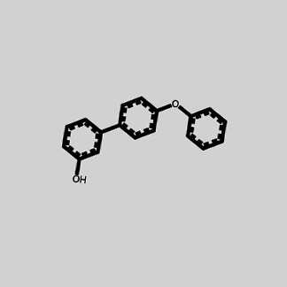 Oc1cccc(-c2ccc(Oc3ccccc3)cc2)c1